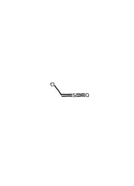 O=[Si]=CCl